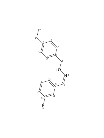 CCc1ccc(CO/N=[C]\c2cccc(F)c2)cc1